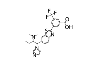 CCC(C(c1ccc2nc(-c3cc(C(=O)O)cc(C(F)(F)F)c3)sc2c1)n1ccnc1)N(C)C